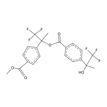 COC(=O)c1ccc(C(C)(OC(=O)c2ccc(C(C)(O)C(F)(F)F)cc2)C(F)(F)F)cc1